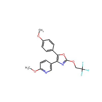 COc1ccc(-c2oc(OCC(F)(F)F)nc2-c2ccc(OC)nc2)cc1